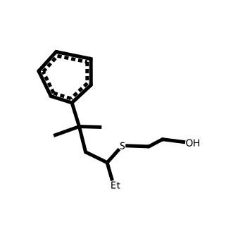 [CH2]CC(CC(C)(C)c1ccccc1)SCCO